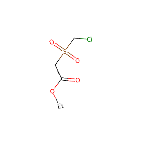 CCOC(=O)CS(=O)(=O)CCl